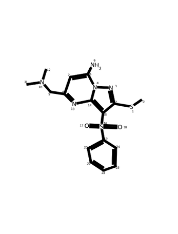 CSc1nn2c(N)cc(CN(C)C)nc2c1S(=O)(=O)c1ccccc1